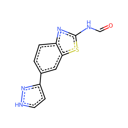 O=CNc1nc2ccc(-c3cc[nH]n3)cc2s1